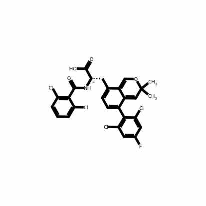 CC1(C)C=c2c(-c3c(Cl)cc(F)cc3Cl)ccc(C[C@H](NC(=O)c3c(Cl)cccc3Cl)C(=O)O)c2=CO1